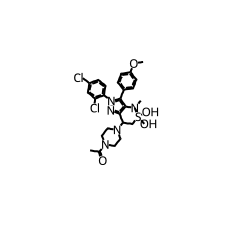 COc1ccc(-c2c3c(nn2-c2ccc(Cl)cc2Cl)C(N2CCN(C(C)=O)CC2)CS(O)(O)N3C)cc1